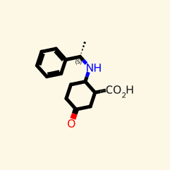 C[C@H](NC1CCC(=O)CC1C(=O)O)c1ccccc1